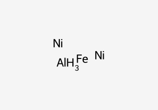 [AlH3].[Fe].[Ni].[Ni]